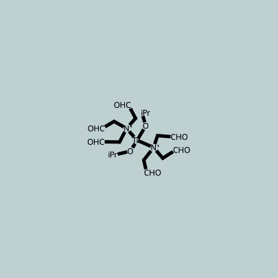 CC(C)[O][Ti]([O]C(C)C)([N+](CC=O)(CC=O)CC=O)[N+](CC=O)(CC=O)CC=O